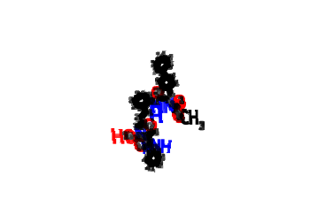 COC(=O)N[C@@H](Cc1ccc(-c2ccccc2)cc1)C(=O)Nc1ccccc1CC[C@@H]1CN(C(=O)O)[C@H](c2nc3ccccc3[nH]2)CO1